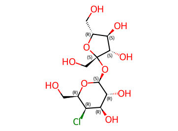 OC[C@H]1O[C@@](CO)(O[C@@H]2O[C@H](CO)[C@H](Cl)[C@H](O)[C@H]2O)[C@@H](O)[C@@H]1O